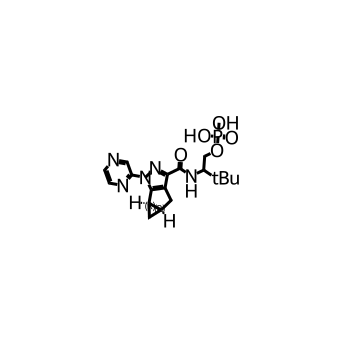 CC(C)(C)C(COP(=O)(O)O)NC(=O)c1nn(-c2cnccn2)c2c1C[C@H]1C[C@@H]21